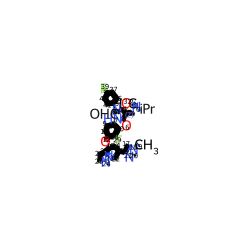 CC(C)N(C)/C=C(/C(=O)Nc1ccc(Oc2cc(-c3cn(C)cn3)cn3nccc23)c(F)c1)C(=O)N(C=O)c1ccc(F)cc1